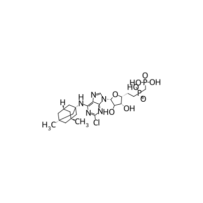 C[C@]12C[C@@H]3C[C@](C)(C1)C[C@@](Nc1nc(Cl)nc4c1ncn4[C@@H]1O[C@H](CCP(=O)(O)CP(=O)(O)O)[C@H](O)C1O)(C3)C2